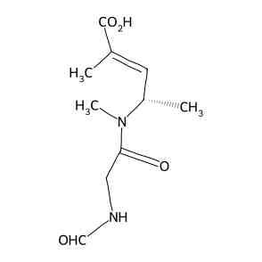 C/C(=C\[C@H](C)N(C)C(=O)CNC=O)C(=O)O